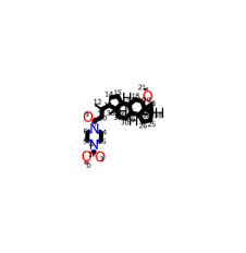 COC(=O)N1CCN(C(=O)C[C@@H](C)[C@H]2CC[C@H]3[C@@H]4CC(OC)C56C[C@H]5CC[C@]6(C)[C@H]4CC[C@]23C)CC1